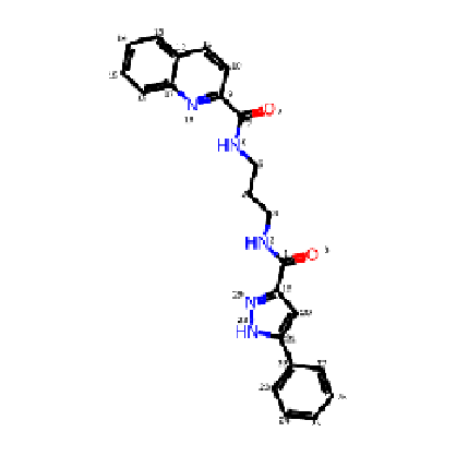 O=C(NCCCNC(=O)c1ccc2ccccc2n1)c1cc(-c2ccccc2)[nH]n1